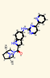 CN1[C@@H]2CC[C@H]1CN(C(=O)c1cc3cc(Nc4nccc(-c5ccccn5)n4)ccc3[nH]1)C2